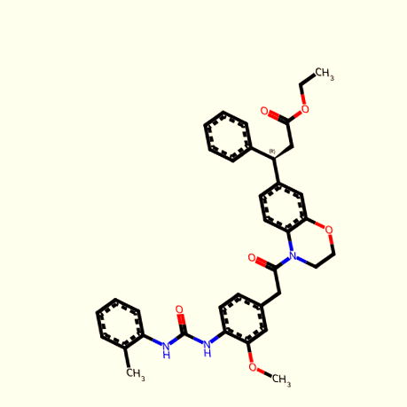 CCOC(=O)C[C@H](c1ccccc1)c1ccc2c(c1)OCCN2C(=O)Cc1ccc(NC(=O)Nc2ccccc2C)c(OC)c1